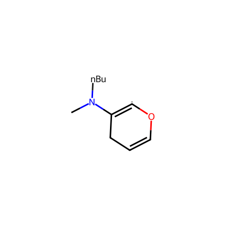 CCCCN(C)C1=[C]OC=CC1